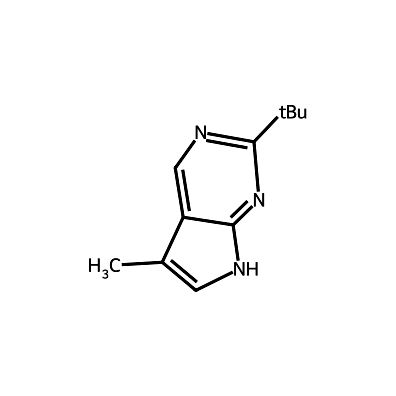 Cc1c[nH]c2nc(C(C)(C)C)ncc12